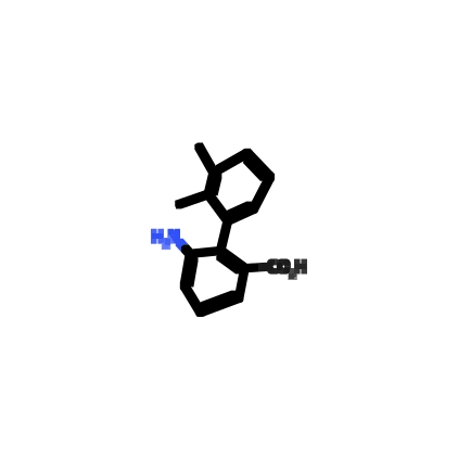 Cc1cccc(-c2c(N)cccc2C(=O)O)c1C